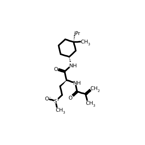 C=C(C)C(=O)N[C@@H](CC[S+](C)[O-])C(=O)N[C@@H]1CCC[C@](C)(C(C)C)C1